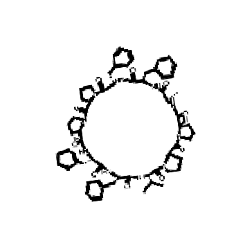 CC(C)[C@@H]1NC(=O)[C@@H](Cc2ccccc2)NC(=O)[C@H](Cc2ccccc2)NC(=O)[C@@H]2CCCN2C(=O)C2CCCN2C(=O)[C@H](Cc2ccccc2)NC(=O)[C@@H](Cc2ccccc2)NC(=O)[C@H](C)NC(=O)[C@@H]2CCCN2C(=O)C2CCCN2C1=O